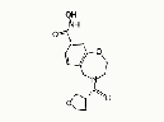 O=C(NO)c1ccc2c(c1)OCCN(C(=O)[C@@H]1CCOC1)C2